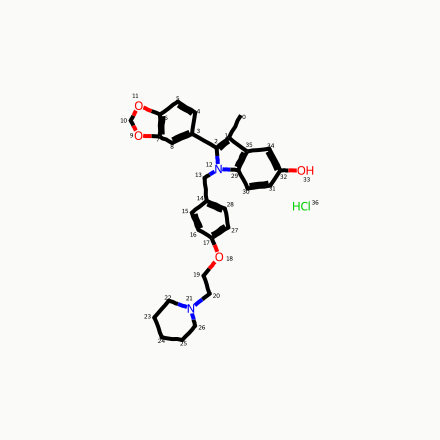 Cc1c(-c2ccc3c(c2)OCO3)n(Cc2ccc(OCCN3CCCCC3)cc2)c2ccc(O)cc12.Cl